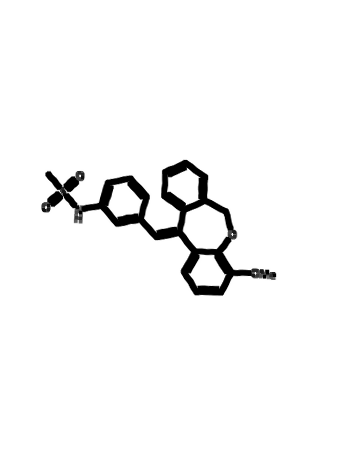 COc1cccc2c1OCc1ccccc1/C2=C\c1cccc(NS(C)(=O)=O)c1